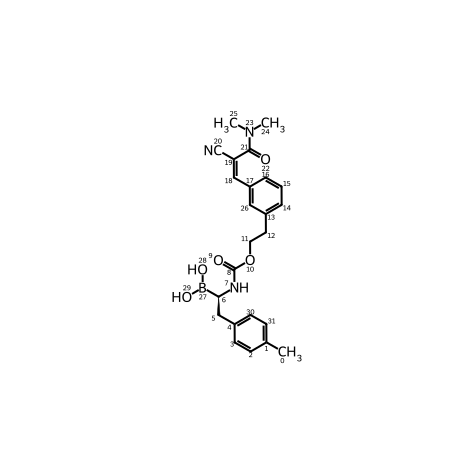 Cc1ccc(C[C@H](NC(=O)OCCc2cccc(C=C(C#N)C(=O)N(C)C)c2)B(O)O)cc1